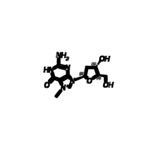 C[n+]1cn([C@H]2C[C@H](O)[C@@H](CO)O2)c2nc(N)[nH]c(=O)c21